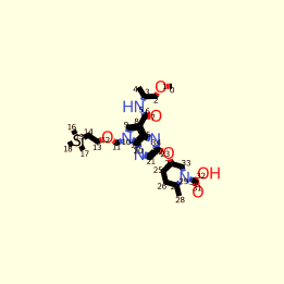 COCC(C)NC(=O)c1cn(COCC[Si](C)(C)C)c2ncc(OC3CCC(C)N(C(=O)O)C3)nc12